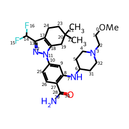 COCCN1CCC(Nc2cc(-n3nc(C(F)F)c4c3CC(C)(C)CC4)ccc2C(N)=O)CC1